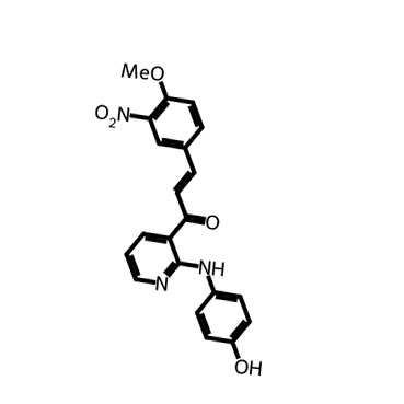 COc1ccc(C=CC(=O)c2cccnc2Nc2ccc(O)cc2)cc1[N+](=O)[O-]